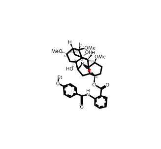 CCOc1ccc(C(=O)Nc2ccccc2C(=O)O[C@@]23CC[C@H](OC)C45C2CC(N4CC3)[C@@]2(O)C[C@H](OC)[C@H]3C[C@H]5[C@]2(O)[C@H]3OC)cc1